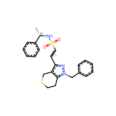 C[C@H](NS(=O)(=O)/C=C/c1nn(Cc2ccccc2)c2c1CSCC2)c1ccccc1